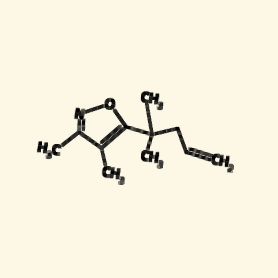 C=CCC(C)(C)c1onc(C)c1C